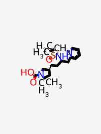 CC1(C)C[C@H](CCC(Cc2ccccn2)N[S+]([O-])C(C)(C)C)CN1C(=O)O